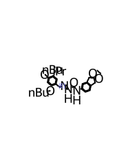 CCCCOc1cc(OCCCC)c(C(C)C)cc1/C=N/NC(=O)Nc1ccc2c(c1)CC1(C2)OCCO1